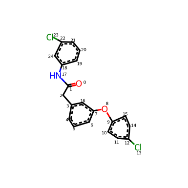 O=C(Cc1cccc(Oc2ccc(Cl)cc2)c1)Nc1cccc(Cl)c1